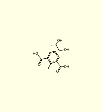 CC(O)CO.Cc1c(C(=O)O)cccc1C(=O)O